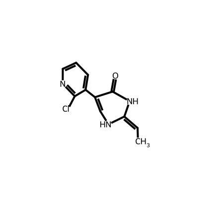 CC=C1NC=C(c2cccnc2Cl)C(=O)N1